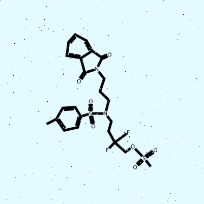 Cc1ccc(S(=O)(=O)N(CCCN2C(=O)c3ccccc3C2=O)CCC(F)(F)COS(C)(=O)=O)cc1